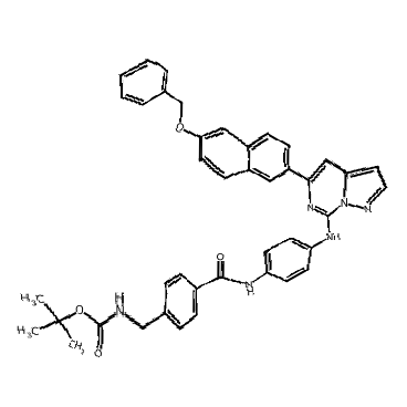 CC(C)(C)OC(=O)NCc1ccc(C(=O)Nc2ccc(Nc3nc(-c4ccc5cc(OCc6ccccc6)ccc5c4)cc4ccnn34)cc2)cc1